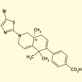 CC1(C)C(c2ccc(C(=O)O)cc2)=CC[C@]2(C)CN(c3ncc(Br)s3)CC=C12